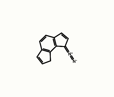 [N-]=[N+]=C1C=Cc2ccc3c(c21)CC=C3